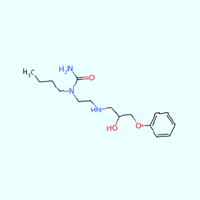 CCCCN(CCNCC(O)COc1ccccc1)C(N)=O